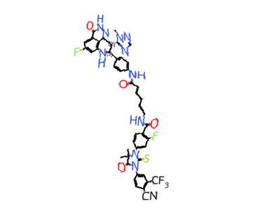 Cn1ncnc1[C@H]1c2n[nH]c(=O)c3cc(F)cc(c23)N[C@@H]1c1ccc(NC(=O)CCCCCNC(=O)c2ccc(N3C(=S)N(c4ccc(C#N)c(C(F)(F)F)c4)C(=O)C3(C)C)cc2F)cc1